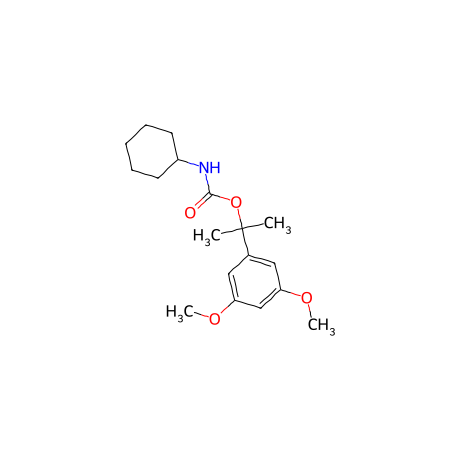 COc1cc(OC)cc(C(C)(C)OC(=O)NC2CCCCC2)c1